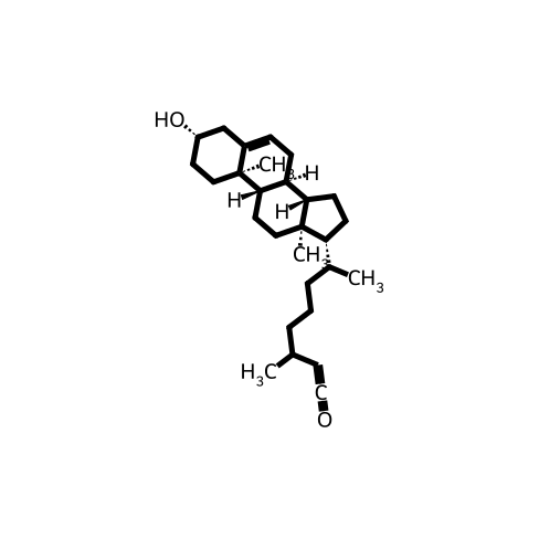 CC(C=C=O)CCCC(C)[C@H]1CC[C@H]2[C@@H]3CC=C4C[C@@H](O)CC[C@]4(C)[C@H]3CC[C@]12C